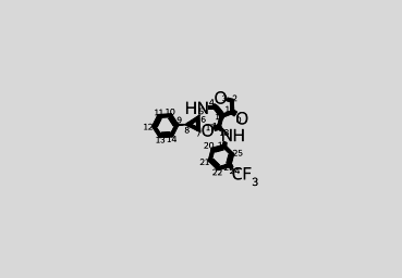 O=C1COC(N[C@@H]2C[C@H]2c2ccccc2)=C1C(=O)Nc1cccc(C(F)(F)F)c1